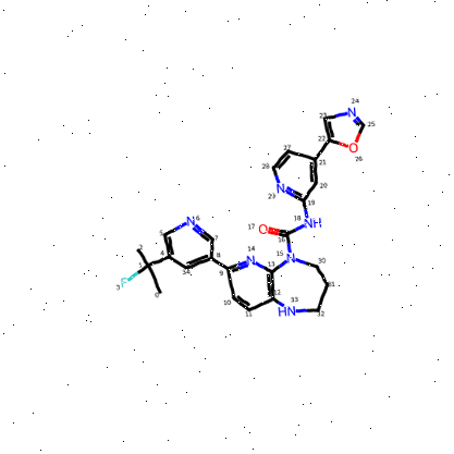 CC(C)(F)c1cncc(-c2ccc3c(n2)N(C(=O)Nc2cc(-c4cnco4)ccn2)CCCN3)c1